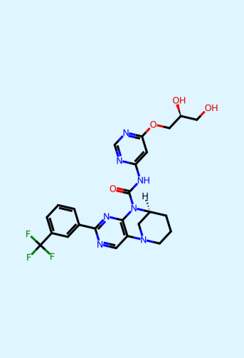 O=C(Nc1cc(OC[C@@H](O)CO)ncn1)N1c2nc(-c3cccc(C(F)(F)F)c3)ncc2N2CCC[C@H]1C2